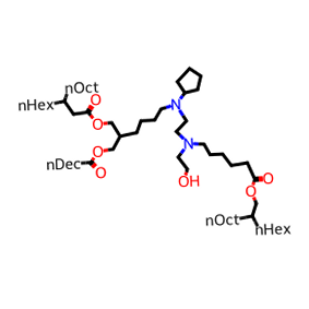 CCCCCCCCCCC(=O)OCC(CCCCN(CCN(CCO)CCCCCC(=O)OCC(CCCCCC)CCCCCCCC)C1CCCC1)COC(=O)CC(CCCCCC)CCCCCCCC